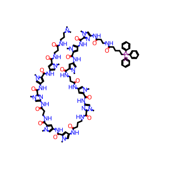 CN(C)CCCNC(=O)CCNC(=O)c1cc(NC(=O)c2cc(NC(=O)c3nc(NC(=O)CCNC(=O)c4cc(NC(=O)c5cc(NC(=O)CCCNC(=O)c6nc(NC(=O)c7cc(NC(=O)CCNC(=O)c8cc(NC(=O)c9cc(NC(=O)c%10nc(NC(=O)CCNC(=O)CCCC[PH](c%11ccccc%11)(c%11ccccc%11)c%11ccccc%11)cn%10C)cn9C)cn8C)cn7C)cn6C)cn5C)cn4C)cn3C)cn2C)cn1C